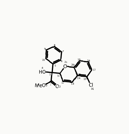 COC(=O)C(O)(c1ccccc1)C1C=Cc2c(Cl)cccc2O1